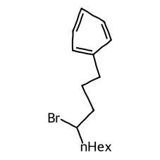 CCCCCCC(Br)CCCc1ccccc1